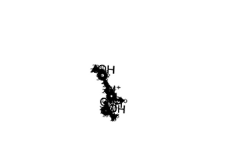 CCOc1cc2c(cc1NC(=O)c1cccc(C3CC3)[n+]1O)=CC(C#CC1CCC(O)(C3CC3)CC1)=[N+]=2